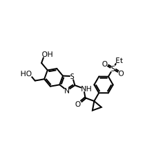 CCS(=O)(=O)c1ccc(C2(C(=O)Nc3nc4cc(CO)c(CO)cc4s3)CC2)cc1